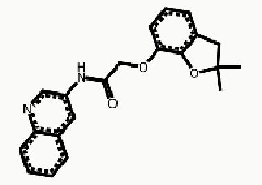 CC1(C)Cc2cccc(OCC(=O)Nc3cnc4ccccc4c3)c2O1